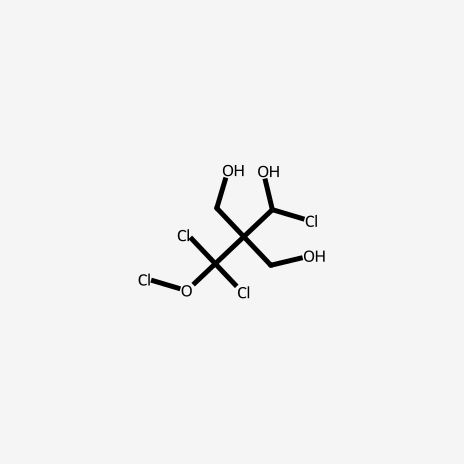 OCC(CO)(C(O)Cl)C(Cl)(Cl)OCl